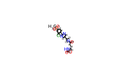 CS(=O)(=O)c1ccc(-c2ncc(C3CN(C(=O)CC[C@@H]4COC(=O)N4)C3)cn2)c(Cl)c1